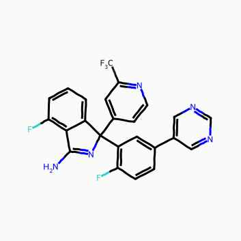 NC1=NC(c2ccnc(C(F)(F)F)c2)(c2cc(-c3cncnc3)ccc2F)c2cccc(F)c21